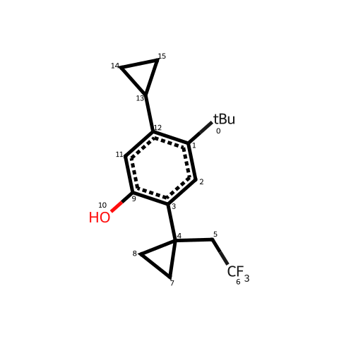 CC(C)(C)c1cc(C2(CC(F)(F)F)CC2)c(O)cc1C1CC1